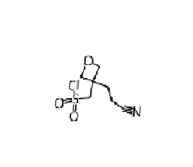 N#CCCC1(CS(=O)(=O)Cl)COC1